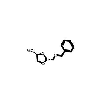 CC(=O)O[C@@H]1CO[C@@H](COCc2ccccc2)O1